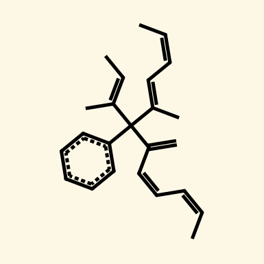 C=C(/C=C\C=C/C)C(/C(C)=C/C)(/C(C)=C/C=C\C)c1ccccc1